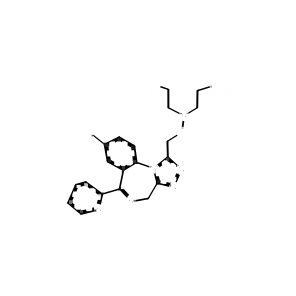 CCCN(CCC)OCc1nnc2n1-c1ccc(Cl)cc1C(c1ccccn1)=NC2